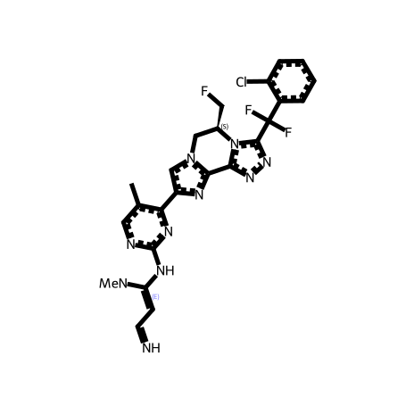 CN/C(=C\C=N)Nc1ncc(C)c(-c2cn3c(n2)-c2nnc(C(F)(F)c4ccccc4Cl)n2[C@H](CF)C3)n1